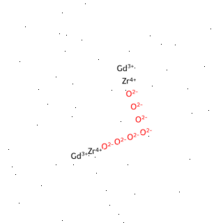 [Gd+3].[Gd+3].[O-2].[O-2].[O-2].[O-2].[O-2].[O-2].[O-2].[Zr+4].[Zr+4]